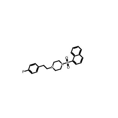 O=S(=O)(c1cccc2ccccc12)N1CCN(CCc2ccc(F)cc2)CC1